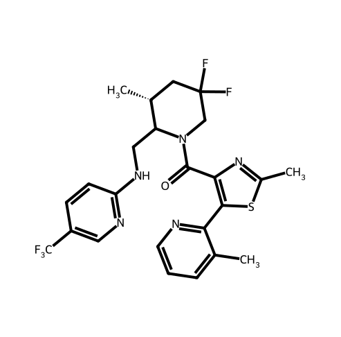 Cc1nc(C(=O)N2CC(F)(F)C[C@@H](C)C2CNc2ccc(C(F)(F)F)cn2)c(-c2ncccc2C)s1